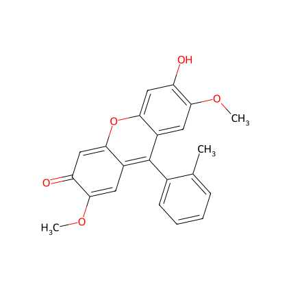 COc1cc2c(-c3ccccc3C)c3cc(OC)c(=O)cc-3oc2cc1O